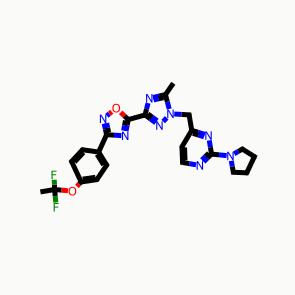 Cc1nc(-c2nc(-c3ccc(OC(C)(F)F)cc3)no2)nn1Cc1ccnc(N2CCCC2)n1